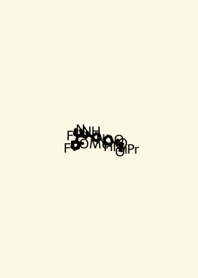 COc1ccc(F)cc1-c1c(F)cnc2[nH]c(C3=CCN([C@H]4CC[C@H](C(=O)NS(=O)(=O)C(C)C)CC4)CC3)cc12